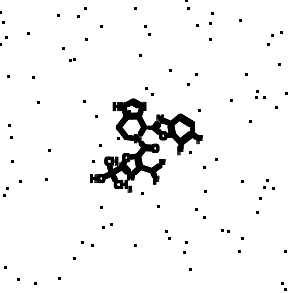 CC(C)(O)c1nc(C(F)F)c(C(=O)N2CCc3[nH]cnc3[C@H]2c2nc3ccc(F)c(F)c3o2)o1